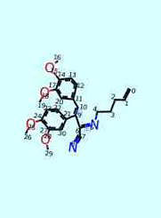 C=CCCC/N=C(C#N)\C(=C\c1ccc(OC)c(OC)c1)c1ccc(OC)c(OC)c1